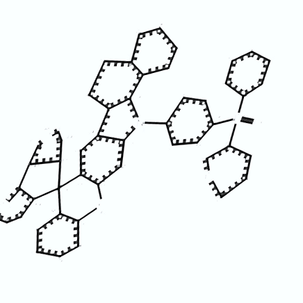 O=P(c1ccccc1)(c1ccccc1)c1ccc(-n2c3cc4c(cc3c3ccc5ccccc5c32)C2(c3ccccc3O4)c3ccccc3-c3ccccc32)cc1